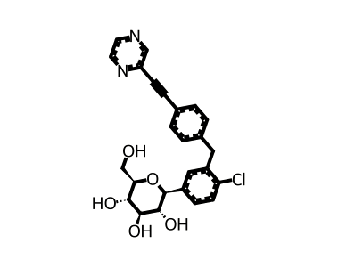 OC[C@H]1O[C@@H](c2ccc(Cl)c(Cc3ccc(C#Cc4cnccn4)cc3)c2)[C@H](O)[C@@H](O)[C@@H]1O